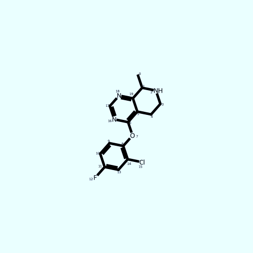 CC1NCCc2c(Oc3ccc(F)cc3Cl)ncnc21